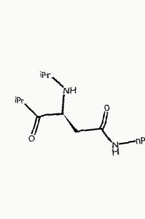 CCCNC(=O)C[C@H](NC(C)C)C(=O)C(C)C